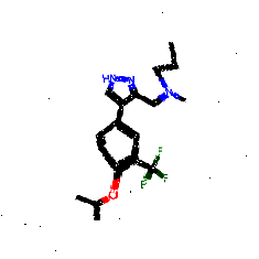 CCCN(C)Cc1n[nH]cc1-c1ccc(OC(C)C)c(C(F)(F)F)c1